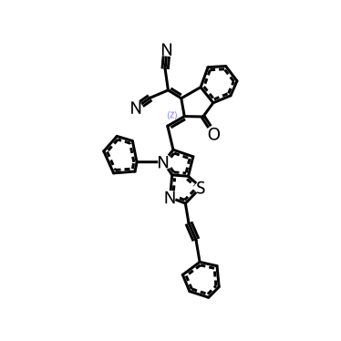 N#CC(C#N)=C1/C(=C/c2cc3sc(C#Cc4ccccc4)nc3n2-c2ccccc2)C(=O)c2ccccc21